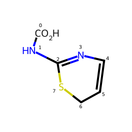 O=C(O)NC1=NC=CCS1